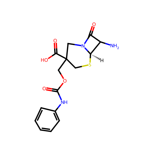 NC1C(=O)N2CC(COC(=O)Nc3ccccc3)(C(=O)O)CS[C@H]12